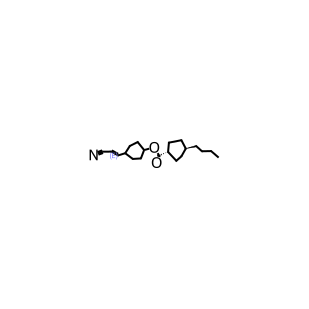 CCCC[C@H]1CC[C@H](C(=O)OC2CCC(/C=C/C#N)CC2)CC1